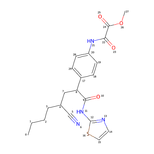 CCCCC(C#N)CC(C(=O)Nc1nccs1)c1ccc(NC(=O)C(=O)OC)cc1